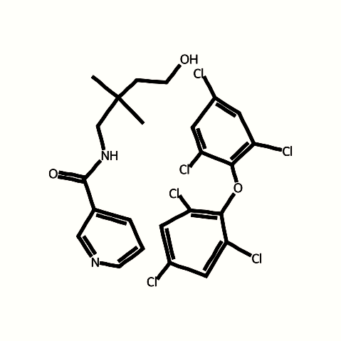 CC(C)(CCO)CNC(=O)c1cccnc1.Clc1cc(Cl)c(Oc2c(Cl)cc(Cl)cc2Cl)c(Cl)c1